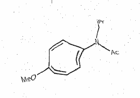 COc1ccc(N(C(C)=O)C(C)C)cc1